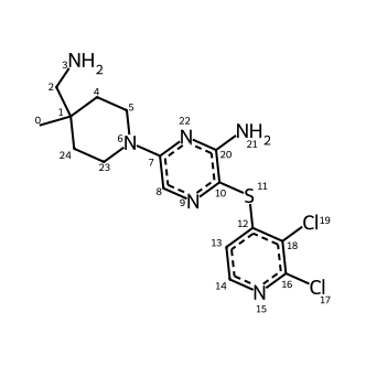 CC1(CN)CCN(c2cnc(Sc3ccnc(Cl)c3Cl)c(N)n2)CC1